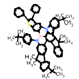 CC(C)(C)c1ccc(N2B3c4cc5sc(-c6ccccc6)c(-c6ccccc6)c5cc4-n4c5ccc(C(C)(C)C)cc5c5c6c(c(c3c54)-c3cc4c(cc32)C(C)(C)c2ccc(C(C)(C)C)cc2-4)-c2ccccc2C6(C)C)cc1